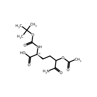 CC(=O)OC(CC[C@H](NC(=O)OC(C)(C)C)C(=O)O)C(N)=O